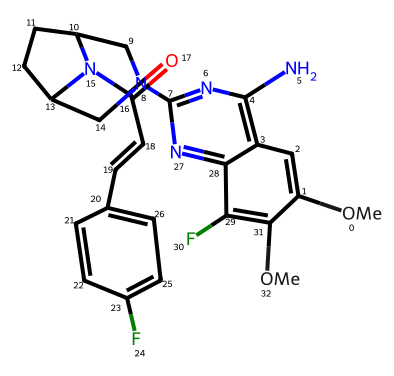 COc1cc2c(N)nc(N3CC4CCC(C3)N4C(=O)/C=C/c3ccc(F)cc3)nc2c(F)c1OC